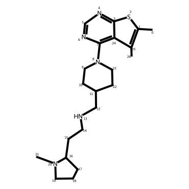 Cc1sc2ncnc(N3CCC(CNCCC4CCCN4C)CC3)c2c1C